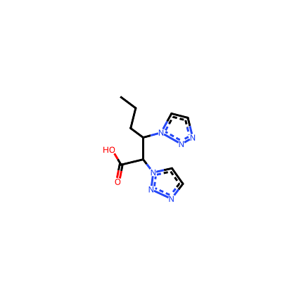 CCCC(C(C(=O)O)n1ccnn1)n1ccnn1